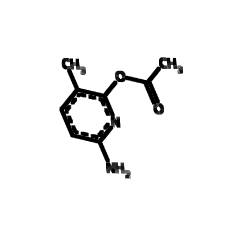 CC(=O)Oc1nc(N)ccc1C